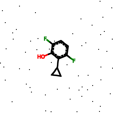 Oc1c(F)ccc(F)c1C1CC1